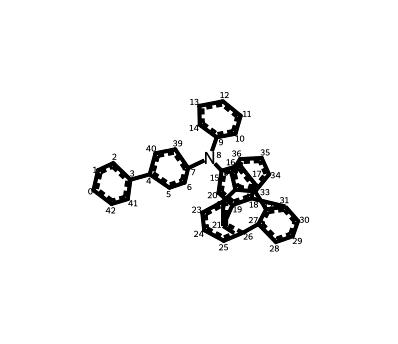 c1ccc(-c2ccc(N(c3ccccc3)c3ccc4c(c3)-c3c5cccc3-c3cccc-4c3-c3ccccc3-5)cc2)cc1